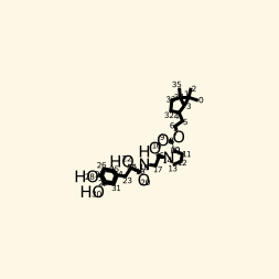 CC1(C)C2C(CCOC(=O)[C@@H]3CCCN3C(=O)CNC(=O)[C@H](O)Cc3ccc(O)c(O)c3)CCC21C